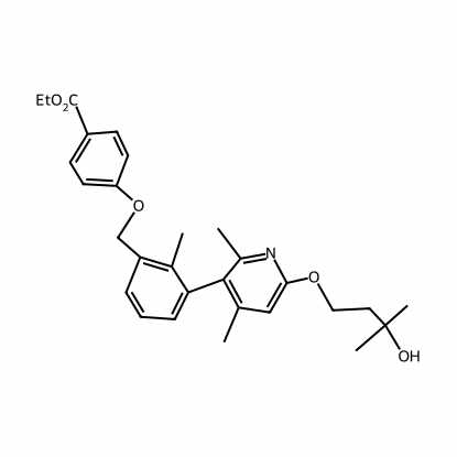 CCOC(=O)c1ccc(OCc2cccc(-c3c(C)cc(OCCC(C)(C)O)nc3C)c2C)cc1